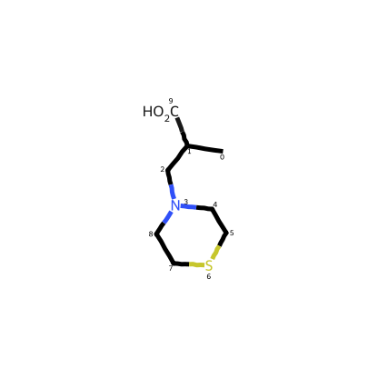 CC(CN1CCSCC1)C(=O)O